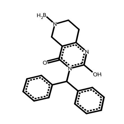 BN1CCc2nc(O)n(C(c3ccccc3)c3ccccc3)c(=O)c2C1